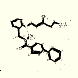 C/C(=C\COc1ccccc1CN(C)C(=O)c1ccc(-c2ccccc2)cc1)CCC(=O)O